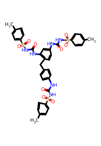 Cc1ccc(S(=O)(=O)NC(=O)Nc2ccc(Cc3ccc(NC(=O)NS(=O)(=O)c4ccc(C)cc4)cc3NC(=O)NS(=O)(=O)c3ccc(C)cc3)cc2)cc1